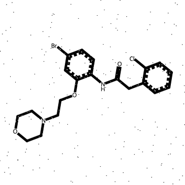 O=C(Cc1ccccc1Cl)Nc1ccc(Br)cc1OCCN1CCOCC1